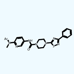 CC(=O)N(C)c1ccc(NC(=O)N2CCN(c3nc(-c4ccccc4)ns3)CC2)cn1